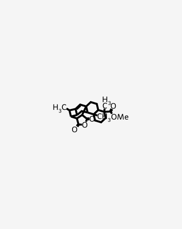 COC(=O)C1(C)CCCC2(C)C1CCC13C=C4C(C)C(C4CC21)C1C(=O)OC(=O)C13